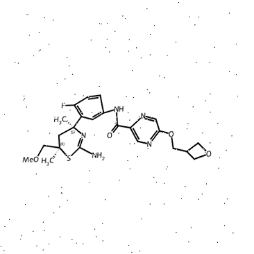 COC[C@@]1(C)C[C@@](C)(c2cc(NC(=O)c3cnc(OCC4COC4)cn3)ccc2F)N=C(N)S1